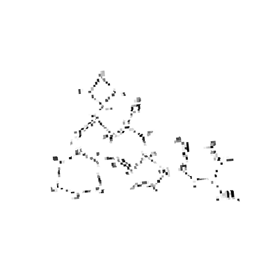 Nc1cc(-n2ccc3c(C4CCCCC4)c(C(=O)N4CCC4)c(Cl)cc32)ncn1